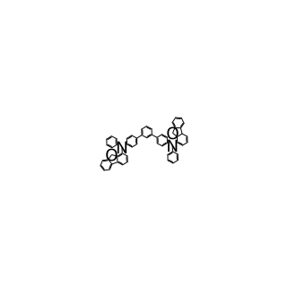 C1=CC2c3ccccc3OC2C(N(c2ccccc2)c2ccc(-c3cccc(-c4ccc(N(c5ccccc5)c5cccc6c5oc5ccccc56)cc4)c3)cc2)=C1